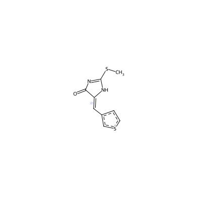 CSC1=NC(=O)/C(=C/c2ccsc2)N1